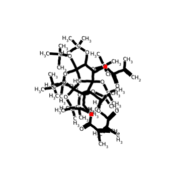 C=C(C)C(=O)OCC(O[Si](C)(C)C)C(O[Si](C)(C)C)(O[Si](C)(C)C)[SiH](C(O[Si](C)(C)C)(O[Si](C)(C)C)C(COC(=O)C(=C)C)O[Si](C)(C)C)C(O[Si](C)(C)C)(O[Si](C)(C)C)C(COC(=O)C(=C)C)O[Si](C)(C)C